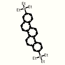 CC[Si](CC)(CC)c1ccc2c(ccc3c2ccc2c4ccc([Si](CC)(CC)CC)cc4ccc23)c1